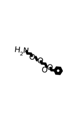 NCCOCCOCCC(=O)OCc1ccccc1